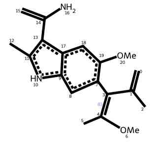 C=C(C)/C(=C(/C)OC)c1cc2[nH]c(C)c(C(=C)N)c2cc1OC